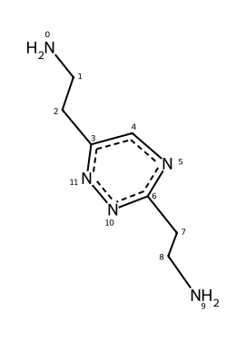 NCCc1cnc(CCN)nn1